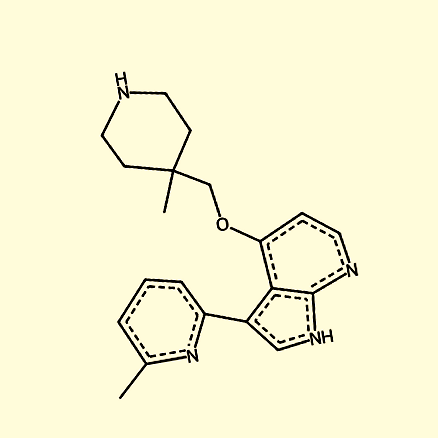 Cc1cccc(-c2c[nH]c3nccc(OCC4(C)CCNCC4)c23)n1